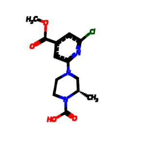 COC(=O)c1cc(Cl)nc(N2CCN(C(=O)O)[C@@H](C)C2)c1